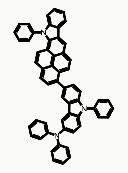 c1ccc(N(c2ccccc2)c2ccc3c(c2)c2cc(-c4ccc5ccc6c7c(ccc4c57)cc4c5ccccc5n(-c5ccccc5)c46)ccc2n3-c2ccccc2)cc1